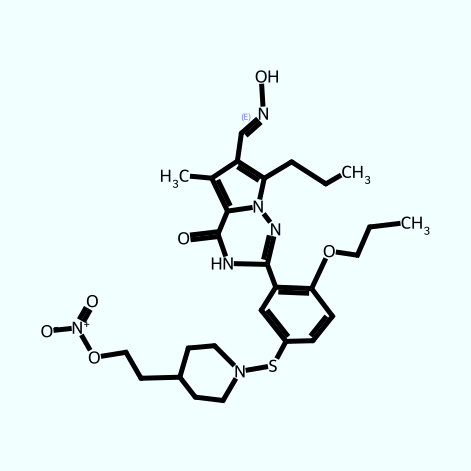 CCCOc1ccc(SN2CCC(CCO[N+](=O)[O-])CC2)cc1-c1nn2c(CCC)c(/C=N/O)c(C)c2c(=O)[nH]1